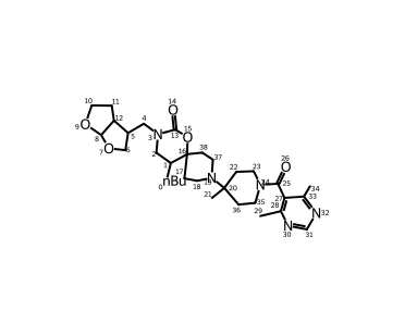 CCCCC1CN(CC2COC3OCCC23)C(=O)OC12CCN(C1(C)CCN(C(=O)c3c(C)ncnc3C)CC1)CC2